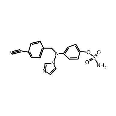 N#Cc1ccc(CN(c2ccc(OS(N)(=O)=O)cc2)n2ccnc2)cc1